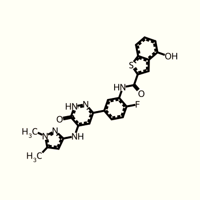 Cc1cc(Nc2cc(-c3ccc(F)c(NC(=O)c4cc5c(O)cccc5s4)c3)n[nH]c2=O)nn1C